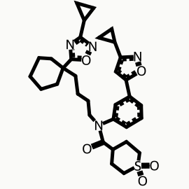 O=C(C1CCS(=O)(=O)CC1)N(CCCCC1(c2nc(C3CC3)no2)CCCCC1)c1cccc(-c2cc(C3CC3)no2)c1